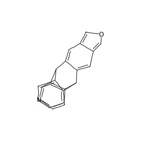 c1ccc2c(c1)C1c3ccncc3C2c2cc3cocc3cc21